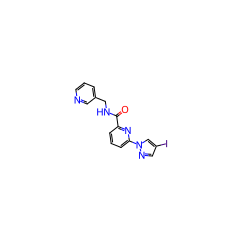 O=C(NCc1cccnc1)c1cccc(-n2cc(I)cn2)n1